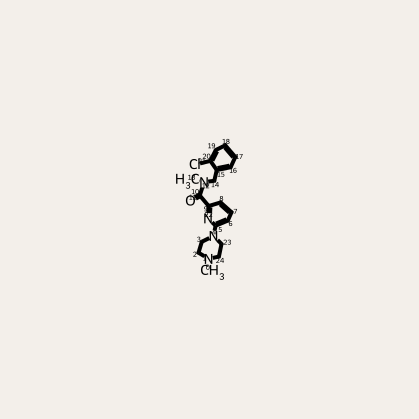 CN1CCN(c2cccc(C(=O)N(C)Cc3ccccc3Cl)n2)CC1